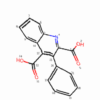 O=C(O)c1nc2ccccc2c(C(=O)O)c1-c1ccccc1